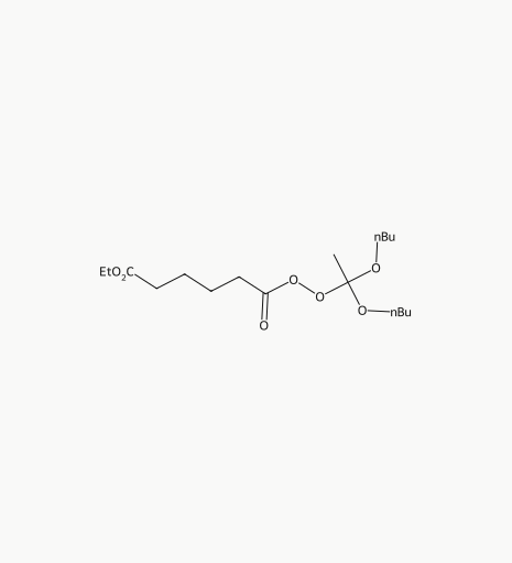 CCCCOC(C)(OCCCC)OOC(=O)CCCCC(=O)OCC